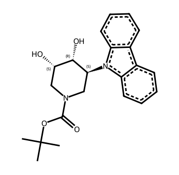 CC(C)(C)OC(=O)N1C[C@H](O)[C@H](O)[C@@H](n2c3ccccc3c3ccccc32)C1